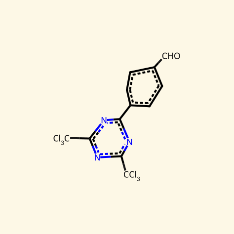 O=Cc1ccc(-c2nc(C(Cl)(Cl)Cl)nc(C(Cl)(Cl)Cl)n2)cc1